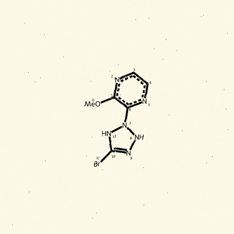 COc1nccnc1N1NN=C(Br)N1